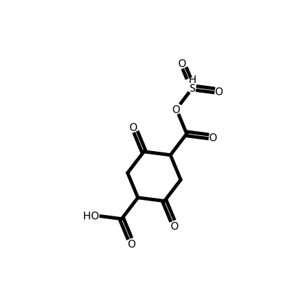 O=C(O)C1CC(=O)C(C(=O)O[SH](=O)=O)CC1=O